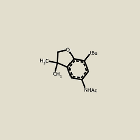 CC(=O)Nc1cc(C(C)(C)C)c2c(c1)C(C)(C)CO2